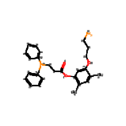 CC(C)(C)c1cc(C(C)(C)C)c(OC(=O)CCP(c2ccccc2)c2ccccc2)cc1OCCCP